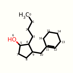 CCCCC1C(O)CCC1CC1=CCCCC1